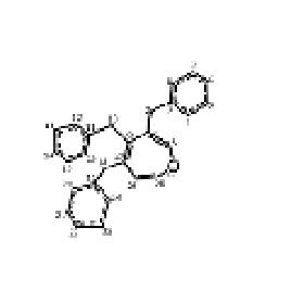 [C]1=C(Cc2ccccc2)C(Cc2ccccc2)=C(Cc2ccccc2)C=CO1